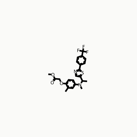 COC(=O)COc1ccc(N(C)C(C)c2cnc(-c3ccc(C(F)(F)F)cc3)s2)cc1C